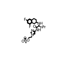 CCCC(NC1CCc2cc(F)cc(F)c2C1)C(=O)Nc1cn(CCOS(C)(=O)=O)cn1